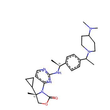 CC(c1ccc([C@H](C)Nc2nccc(N3C(=O)OC[C@]3(C)C3CC3)n2)cc1)N1CCC(N(C)C)CC1